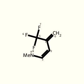 C=C(/C=C\NC)C(F)(F)F